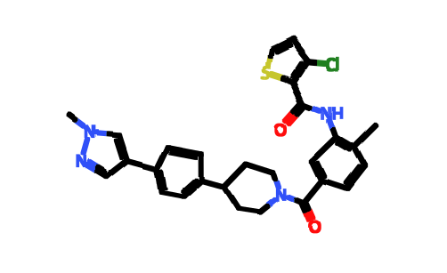 Cc1ccc(C(=O)N2CCC(c3ccc(-c4cnn(C)c4)cc3)CC2)cc1NC(=O)c1sccc1Cl